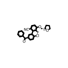 N#Cc1ccc(OC[C@@H]2CCCO2)c(F)c1-c1cc(C(=O)c2ccccc2)ccc1Cl